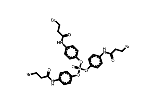 O=C(CCBr)Nc1ccc(OP(=O)(Oc2ccc(NC(=O)CCBr)cc2)Oc2ccc(NC(=O)CCBr)cc2)cc1